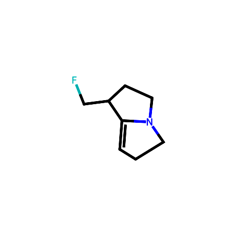 FCC1CCN2CCC=C12